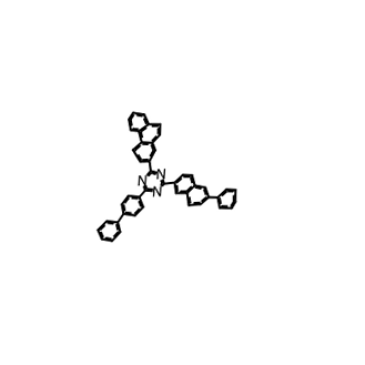 c1ccc(-c2ccc(-c3nc(-c4ccc5cc(-c6ccccc6)ccc5c4)nc(-c4ccc5c(ccc6ccccc65)c4)n3)cc2)cc1